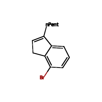 CCCCCC1=CCc2c(Br)cccc21